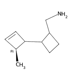 C[C@H]1C=CC1C1CCC1CN